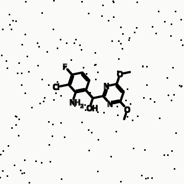 COc1cc(OC)nc(C(O)c2ccc(F)c(Cl)c2N)n1